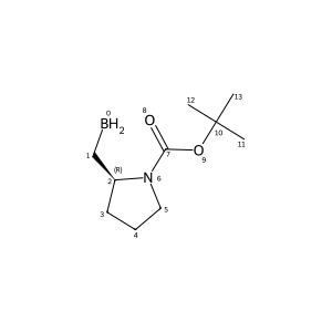 BC[C@@H]1CCCN1C(=O)OC(C)(C)C